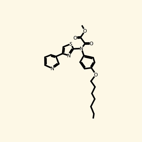 CCCCCCCOc1ccc(N(C(=O)C(=O)OC)c2nc(-c3cccnc3)cs2)cc1